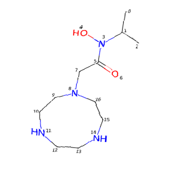 CC(C)N(O)C(=O)CN1CCNCCNCC1